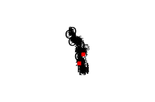 COC(=O)CC1COc2cc(O[C@@H]3CCc4c(Oc5ccc(-c6nnn(C)n6)cc5)ccc(F)c43)ccc21